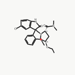 CCO[C@@H]1C[C@@H](C(=O)N(C)C)N(C2(c3ccccc3OC)C(=O)Nc3ccc(Cl)cc32)C1